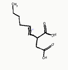 CCCC/C=C/C(CC(=O)O)C(=O)O